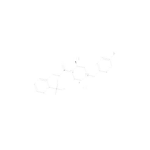 C[C@@H]1CN(C(=O)COc2ccccc2C(F)(F)F)[C@@H](C)CN1Cc1ccc(F)cc1